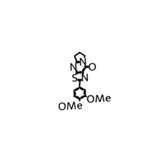 COc1ccc(-c2nc3c(=O)n4c(nc3s2)CCC4)cc1OC